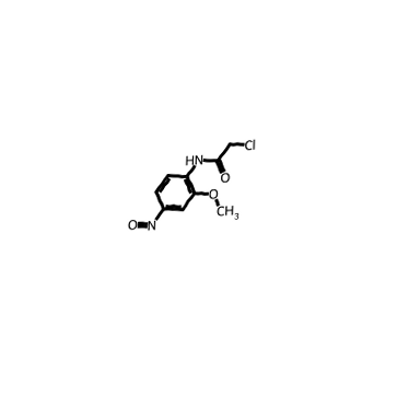 COc1cc(N=O)ccc1NC(=O)CCl